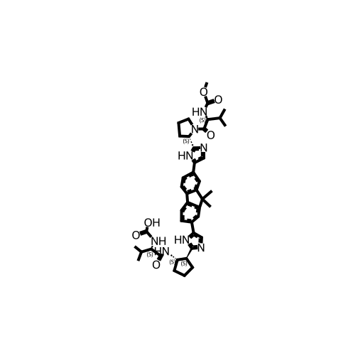 COC(=O)N[C@H](C(=O)N1CCC[C@H]1c1ncc(-c2ccc3c(c2)C(C)(C)c2cc(-c4cnc([C@H]5CCC[C@@H]5NC(=O)[C@@H](NC(=O)O)C(C)C)[nH]4)ccc2-3)[nH]1)C(C)C